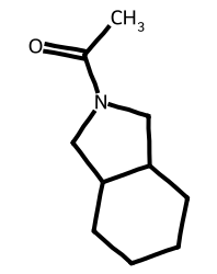 CC(=O)N1CC2CCCCC2C1